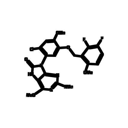 CNc1nc(OC)c2[nH]c(=O)n(-c3cc(OCc4c(OC)ccc(F)c4F)c(OC)cc3Cl)c2n1